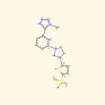 CC(C)n1cnnc1-c1cccc(N2CCN(c3ccc(S(C)(=O)=O)s3)C2)n1